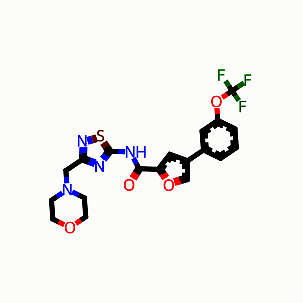 O=C(Nc1nc(CN2CCOCC2)ns1)c1cc(-c2cccc(OC(F)(F)F)c2)co1